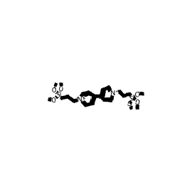 CO[Si](CCC[n+]1ccc(-c2cc[n+](CCC[Si](OC)(OC)OC)cc2)cc1)(OC)OC